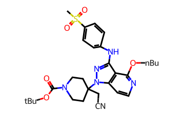 CCCCOc1nccc2c1c(Nc1ccc(S(C)(=O)=O)cc1)nn2C1(CC#N)CCN(C(=O)OC(C)(C)C)CC1